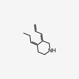 C=C/C=C1/CNCC/C1=C/CC